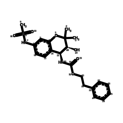 CC1(C)Oc2cc(NS(C)(=O)=O)ccc2[C@H](NC(=O)OCCc2ccccc2)[C@H]1O